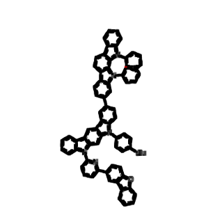 CC(C)(C)c1ccc(-n2c3ccc(-c4ccc5c6ccc7c8ccccc8n(-c8ccccc8)c7c6n(-c6ccccc6)c5c4)cc3c3cc4c5ccccc5n(-c5cccc(-c6ccc7oc8ccccc8c7c6)n5)c4cc32)cc1